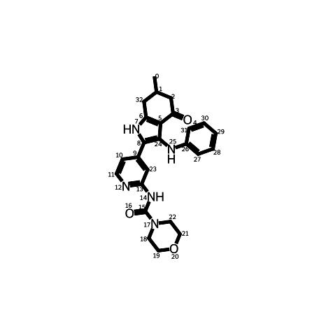 CC1CC(=O)c2c([nH]c(-c3ccnc(NC(=O)N4CCOCC4)c3)c2Nc2ccccc2)C1